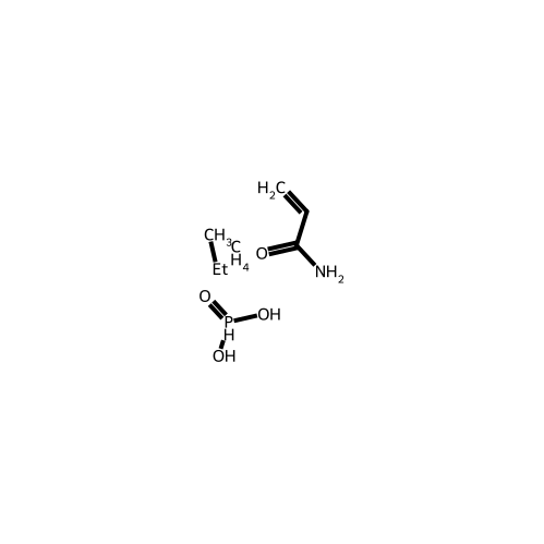 C.C=CC(N)=O.CCC.O=[PH](O)O